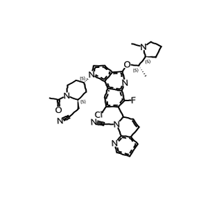 CC(=O)N1CC[C@H](n2ccc3c(O[C@@H](C)[C@@H]4CCCN4C)nc4c(F)c(C5C=Cc6cccnc6N5C#N)c(Cl)cc4c32)C[C@H]1CC#N